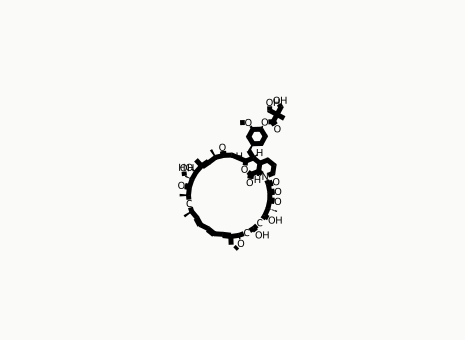 CO[C@H]1CC(O)CC(O)[C@@H](C)C(=O)C(=O)C(=O)N2CCCC3[C@H]2C(=O)O[C@@H](CC(=O)[C@H](C)/C=C(\C)[C@@H](O)[C@@H](CO)C(=O)[C@H](C)C[C@H](C)/C=C/C=C/C=C/1C)[C@H]3C[C@@H]1CC[C@@H](OC(=O)C(C)(CO)CO)[C@H](OC)C1